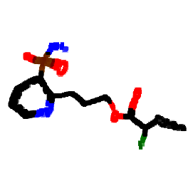 COC(F)C(=O)OCCCc1ncccc1S(N)(=O)=O